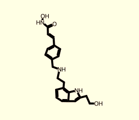 O=C(/C=C/c1ccc(CNCCc2cccc3cc(CCO)[nH]c23)cc1)NO